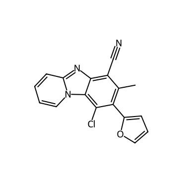 Cc1c(-c2ccco2)c(Cl)c2c(nc3ccccn32)c1C#N